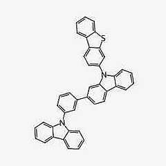 c1cc(-c2ccc3c4ccccc4n(-c4ccc5c(c4)sc4ccccc45)c3c2)cc(-n2c3ccccc3c3ccccc32)c1